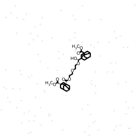 COC(=O)C12CC3CC(C1)CC([C@@H](O)OCCOCCOC(=O)[C@]14CC5CC(C[C@](C(=O)OC)(C5)C1)C4)(C3)C2